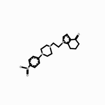 O=C1CCCc2c1ccn2CCN1CCN(c2ccc([N+](=O)[O-])cc2)CC1